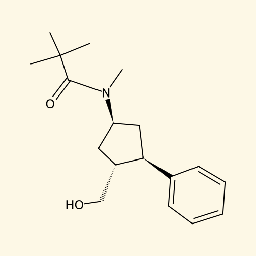 CN(C(=O)C(C)(C)C)[C@@H]1C[C@@H](CO)[C@H](c2ccccc2)C1